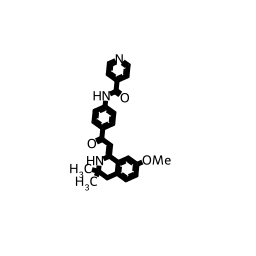 COc1ccc2c(c1)C(=CC(=O)c1ccc(NC(=O)c3ccncc3)cc1)NC(C)(C)C2